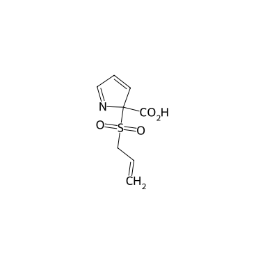 C=CCS(=O)(=O)C1(C(=O)O)C=CC=N1